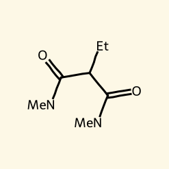 CCC(C(=O)NC)C(=O)NC